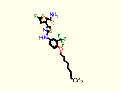 CCCCCCCCOc1ccc(Nc2nc(-c3cc(F)sc3C(N)=O)cs2)cc1C(F)(F)F